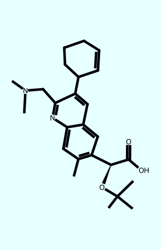 Cc1cc2nc(CN(C)C)c(C3C=CCCC3)cc2cc1[C@H](OC(C)(C)C)C(=O)O